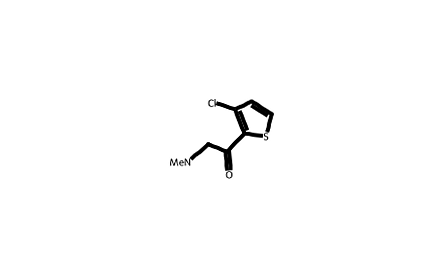 CNCC(=O)c1sccc1Cl